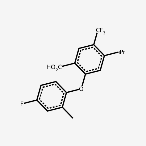 Cc1cc(F)ccc1Oc1cc(C(C)C)c(C(F)(F)F)cc1C(=O)O